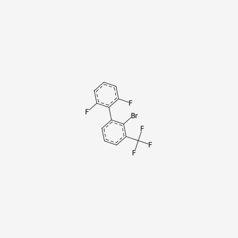 Fc1cccc(F)c1-c1cccc(C(F)(F)F)c1Br